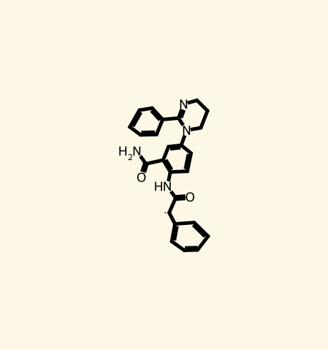 NC(=O)c1cc(N2CCCN=C2c2ccccc2)ccc1NC(=O)[CH]c1ccccc1